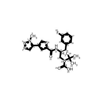 Cn1nncc1-c1csc(C(=O)N[C@@H](Cc2cccc(F)c2)CN(C(=O)O)C(C)(C)C)c1